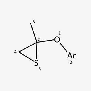 CC(=O)OC1(C)CS1